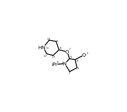 CC(C)N1CCC([O])C1OC1CCNCC1